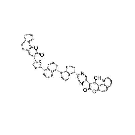 Cc1c(-c2cnc(-c3cccc4c(-c5cccc6c(-c7ccc(-c8cc9ccc%10ccccc%10c9oc8=O)s7)cccc56)cccc34)cn2)c(=O)oc2ccc3ccccc3c12